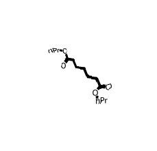 CCCOC(=O)CCCCCC(=O)OCCC